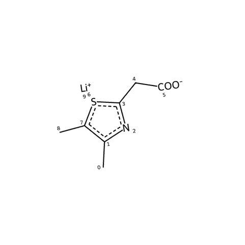 Cc1nc(CC(=O)[O-])sc1C.[Li+]